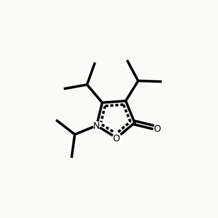 CC(C)c1c(C(C)C)n(C(C)C)oc1=O